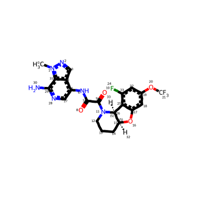 Cn1ncc2c(NC(=O)C(=O)N3CCC[C@@H]4Oc5cc(OC(F)(F)F)cc(F)c5[C@@H]43)cnc(N)c21